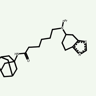 CCCN(CCCCCC(=O)NC12CC3CC(CC(C3)C1)C2)C1CCc2ncsc2C1